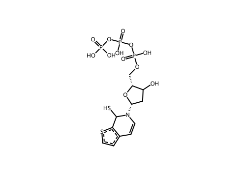 O=P(O)(O)OP(=O)(O)OP(=O)(O)OC[C@H]1O[C@@H](N2C=Cc3ccsc3C2S)CC1O